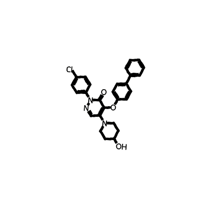 O=c1c(Oc2ccc(-c3ccccc3)cc2)c(N2CCC(O)CC2)cnn1-c1ccc(Cl)cc1